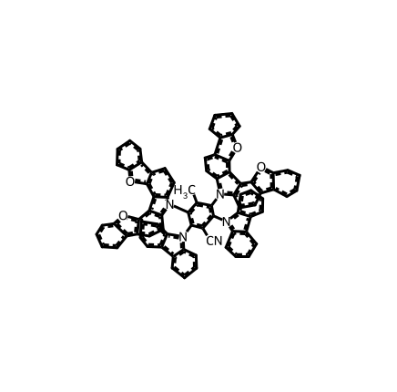 Cc1c(-n2c3ccc4c5ccccc5oc4c3c3c4oc5ccccc5c4ccc32)c(-n2c3ccccc3c3ccccc32)c(C#N)c(-n2c3ccccc3c3ccccc32)c1-n1c2ccc3c4ccccc4oc3c2c2c3oc4ccccc4c3ccc21